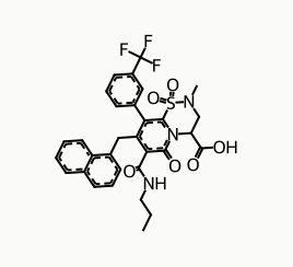 CCCNC(=O)c1c(Cc2cccc3ccccc23)c(-c2cccc(C(F)(F)F)c2)c2n(c1=O)C(C(=O)O)CN(C)S2(=O)=O